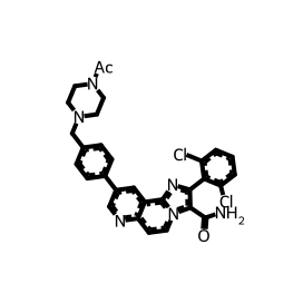 CC(=O)N1CCN(Cc2ccc(-c3cnc4ccn5c(C(N)=O)c(-c6c(Cl)cccc6Cl)nc5c4c3)cc2)CC1